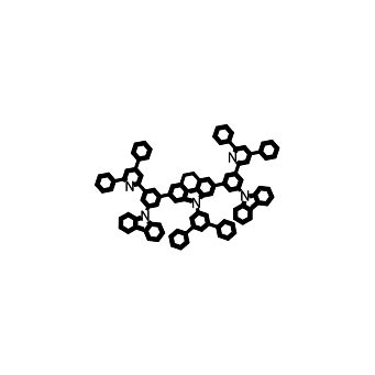 c1ccc(-c2cc(-c3ccccc3)cc(-n3c4cc(-c5cc(-c6cc(-c7ccccc7)cc(-c7ccccc7)n6)cc(-n6c7ccccc7c7ccccc76)c5)cc5c4c4c(cc(-c6cc(-c7cc(-c8ccccc8)cc(-c8ccccc8)n7)cc(-n7c8ccccc8c8ccccc87)c6)cc43)CC5)c2)cc1